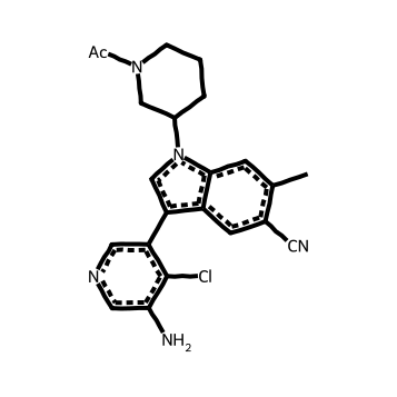 CC(=O)N1CCCC(n2cc(-c3cncc(N)c3Cl)c3cc(C#N)c(C)cc32)C1